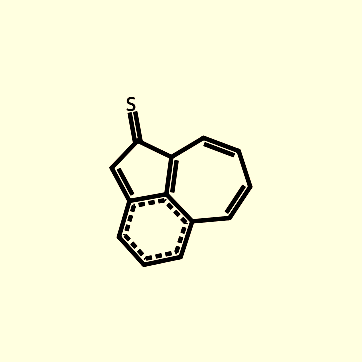 S=C1C=c2cccc3c2=C1C=CC=C3